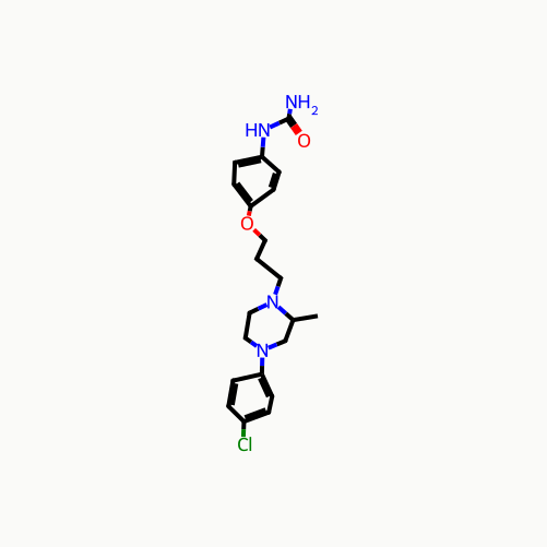 CC1CN(c2ccc(Cl)cc2)CCN1CCCOc1ccc(NC(N)=O)cc1